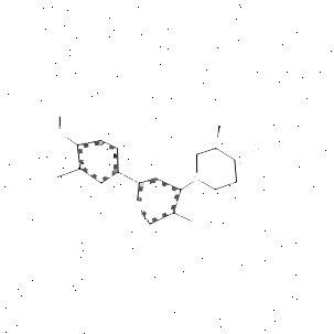 CC(=O)N[C@@H]1CCN(c2cc(-c3ccc(OC(F)(F)F)c(F)c3)ncc2F)C[C@H]1F